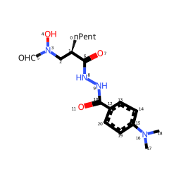 CCCCC[C@H](CN(O)C=O)C(=O)NNC(=O)c1ccc(N(C)C)cc1